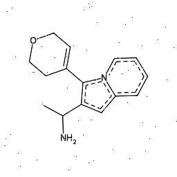 CC(N)c1cc2ccccn2c1C1=CCOCC1